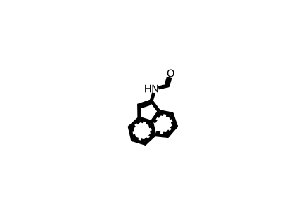 O=CNC1=Cc2cccc3cccc1c23